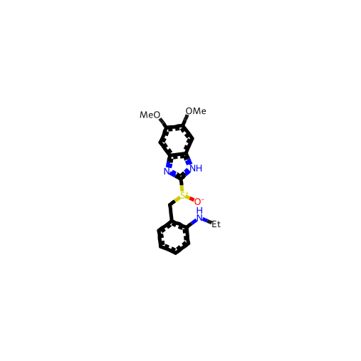 CCNc1ccccc1C[S+]([O-])c1nc2cc(OC)c(OC)cc2[nH]1